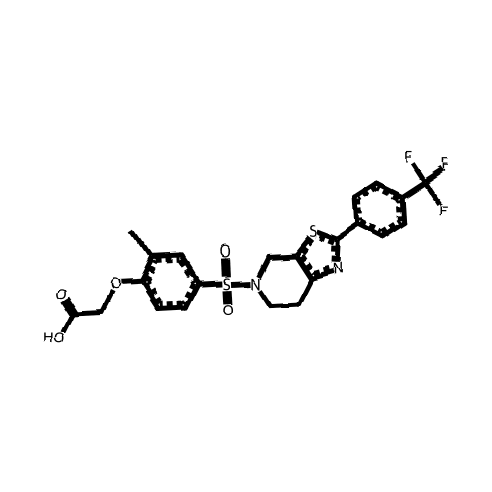 Cc1cc(S(=O)(=O)N2CCc3nc(-c4ccc(C(F)(F)F)cc4)sc3C2)ccc1OCC(=O)O